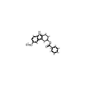 CCOc1ccc2[nH]c3c(c2c1)CC(OC(=O)c1ccccc1)CC3